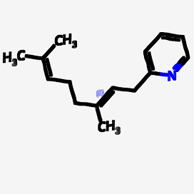 CC(C)=CCC/C(C)=C/Cc1ccccn1